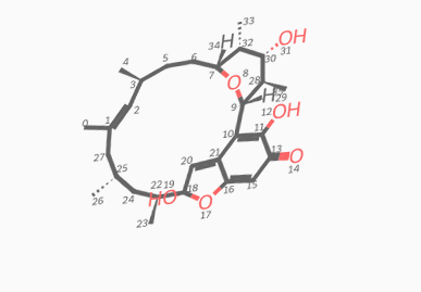 C/C1=C\[C@@H](C)CC[C@H]2O[C@@H](C3=C(O)C(=O)C=C4O[C@](O)(C=C43)[C@@H](C)C[C@H](C)C1)[C@H](C)[C@@H](O)[C@H]2C